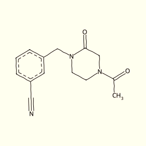 CC(=O)N1CCN(Cc2cccc(C#N)c2)C(=O)C1